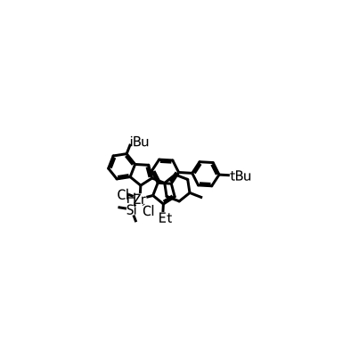 CCC1=Cc2c(-c3ccc(C(C)(C)C)cc3)cccc2[CH]1[Zr]([Cl])([Cl])([CH]1C(C2CCC(C)CC2)=Cc2c(C(C)CC)cccc21)[SiH](C)C